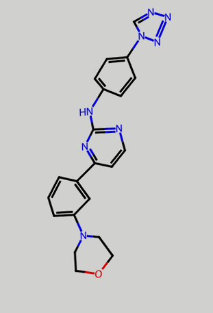 c1cc(-c2ccnc(Nc3ccc(-n4cnnn4)cc3)n2)cc(N2CCOCC2)c1